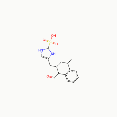 CC1CC(CC2=CNC(S(=O)(=O)O)N2)C(C=O)c2ccccc21